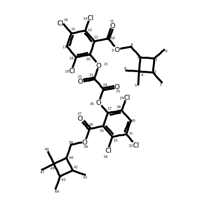 CC1C(C)C(C)(C)C1COC(=O)c1c(Cl)c(Cl)cc(Cl)c1OC(=O)C(=O)Oc1c(Cl)cc(Cl)c(Cl)c1C(=O)OCC1C(C)C(C)C1(C)C